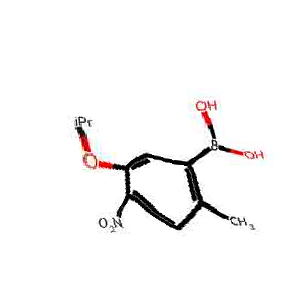 Cc1cc([N+](=O)[O-])c(OC(C)C)cc1B(O)O